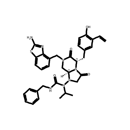 C=Cc1cc(C[C@H]2C(=O)N(Cc3cccc4sc(N)nc34)C[C@H]3N2C(=O)CN3N(C(=O)NCc2ccccc2)C(C)C)ccc1O